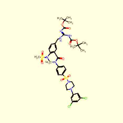 CN(c1ccc(CNC(=NC(=O)OC(C)(C)C)NC(=O)OC(C)(C)C)cc1C(=O)Nc1ccc(S(=O)(=O)N2CCN(c3cc(Cl)cc(Cl)c3)CC2)cc1)S(C)(=O)=O